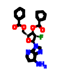 Nc1ccnc2c1ncn2[C@@H]1O[C@H](COC(=O)c2ccccc2)[C@@H](OC(=O)c2ccccc2)[C@@H]1F